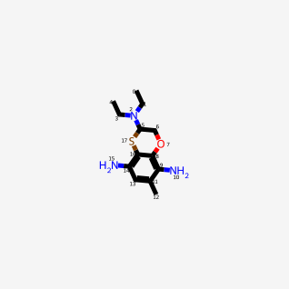 CCN(CC)C1COc2c(N)c(C)cc(N)c2S1